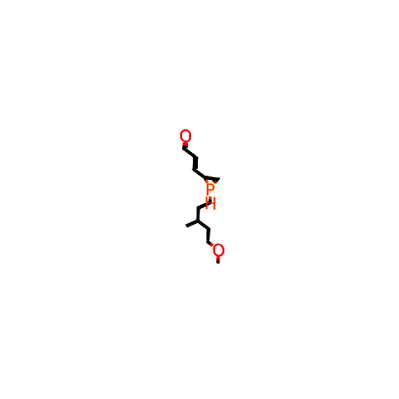 COCCC(C)CC[PH]1=CC1/C=C/C=O